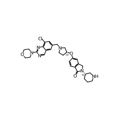 O=C1c2ccc(O[C@H]3CCN(Cc4cc(Cl)c5nc(N6CCOCC6)ncc5c4)C3)cc2CN1[C@H]1CCCNC1